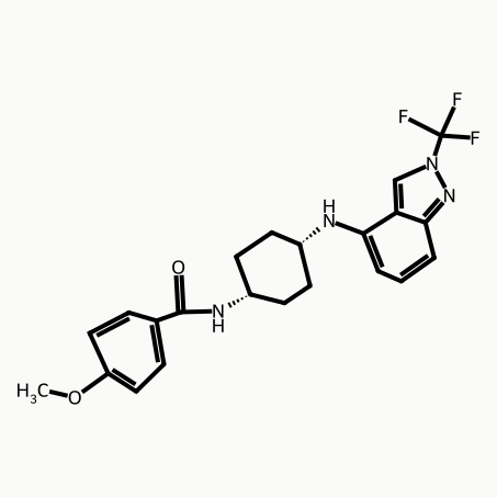 COc1ccc(C(=O)N[C@H]2CC[C@@H](Nc3cccc4nn(C(F)(F)F)cc34)CC2)cc1